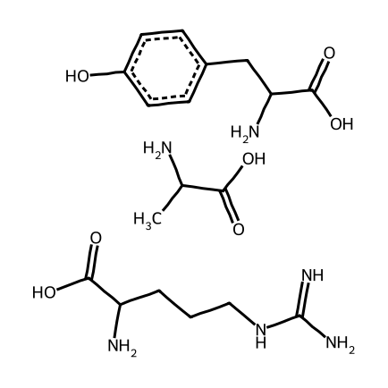 CC(N)C(=O)O.N=C(N)NCCCC(N)C(=O)O.NC(Cc1ccc(O)cc1)C(=O)O